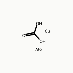 O=C(O)O.[Cu].[Mo]